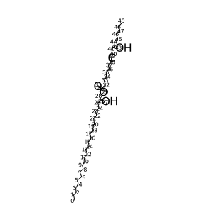 CCCCCCCCCCCCCCCCCCCCCCCCCCC(O)COC(=O)CCCCCCCCCCC(O)CCCCCC